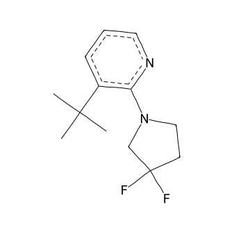 CC(C)(C)c1cccnc1N1CCC(F)(F)C1